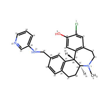 CN1CCc2cc(Cl)c(O)cc2[C@H]2c3cc(CNc4cccnc4)ccc3CC[C@@H]21